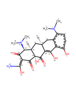 CN(C)c1ccc(O)c2c1C[C@@H]1C[C@@H]3[C@H](N(C)C)C(=O)C(=C(N)O)C(=O)[C@]3(O)C(=O)C1=C2O